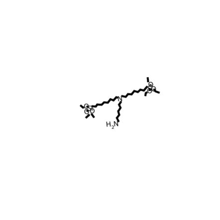 CCO[Si](CCCCCCCCCN(CCCCCCCN)CCCCCCCCC[Si](OCC)(OCC)OCC)(OCC)OCC